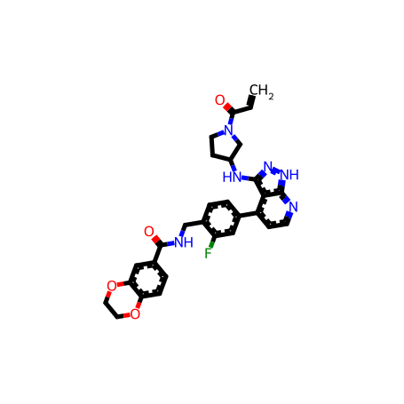 C=CC(=O)N1CCC(Nc2n[nH]c3nccc(-c4ccc(CNC(=O)c5ccc6c(c5)OCCO6)c(F)c4)c23)C1